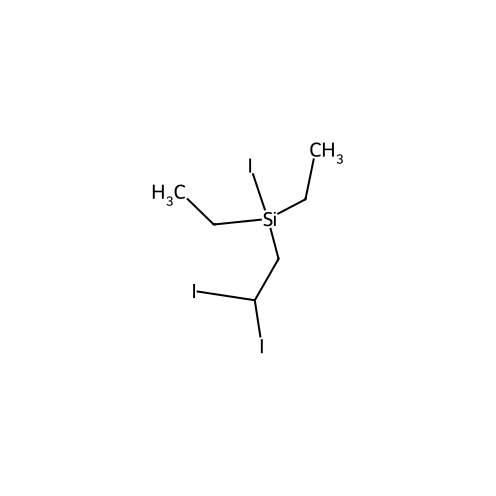 CC[Si](I)(CC)CC(I)I